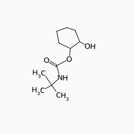 CC(C)(C)NC(=O)OC1CCCCC1O